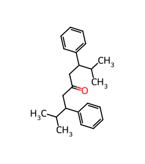 CC(C)C(CC(=O)CC(c1ccccc1)C(C)C)c1ccccc1